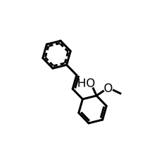 COC1(O)C=CC=CC1/C=C/c1ccccc1